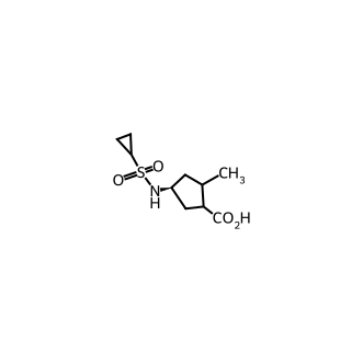 CC1C[C@H](NS(=O)(=O)C2CC2)CC1C(=O)O